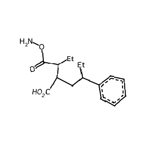 CCC(CC(C(=O)O)C(CC)C(=O)ON)c1ccccc1